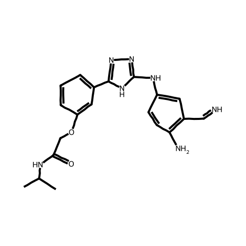 CC(C)NC(=O)COc1cccc(-c2nnc(Nc3ccc(N)c(C=N)c3)[nH]2)c1